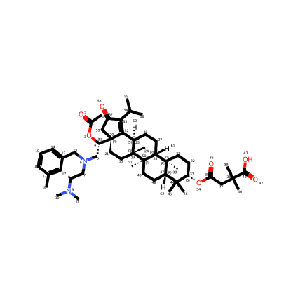 CC(=O)O[C@@H](CN(CCN(C)C)Cc1cccc(C)c1)[C@@]12CC[C@]3(C)[C@H](CC[C@@H]4[C@@]5(C)CC[C@H](OC(=O)CC(C)(C)C(=O)O)C(C)(C)[C@@H]5CC[C@]43C)C1=C(C(C)C)C(=O)C2